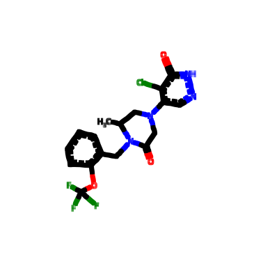 CC1CN(c2cn[nH]c(=O)c2Cl)CC(=O)N1Cc1ccccc1OC(F)(F)F